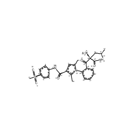 Cc1cc(C(=O)Nc2ccc(S(C)(=O)=O)cc2)c(C)n1-c1ccccc1C(=O)[C@](N)(CC(C)C)C(N)=O